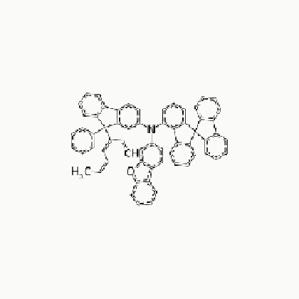 C=C/C(=C\C=C/C)C1(c2ccccc2)c2ccccc2-c2ccc(N(c3ccc4c(c3)oc3ccccc34)c3cccc4c3-c3ccccc3C43c4ccccc4-c4ccccc43)cc21